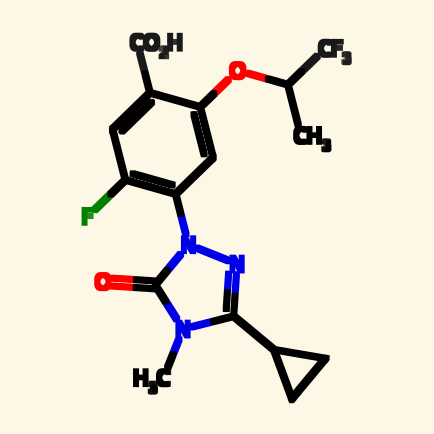 CC(Oc1cc(-n2nc(C3CC3)n(C)c2=O)c(F)cc1C(=O)O)C(F)(F)F